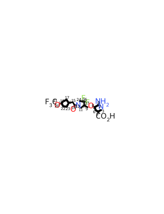 Nc1ncc(C(=O)O)cc1OCC1CN(C(=O)Cc2ccc(OC(F)(F)F)cc2)CC1(F)F